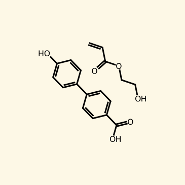 C=CC(=O)OCCO.O=C(O)c1ccc(-c2ccc(O)cc2)cc1